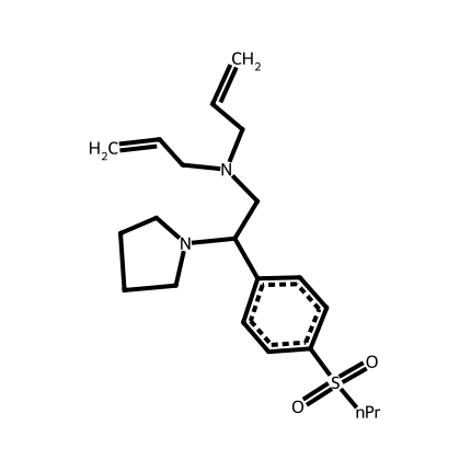 C=CCN(CC=C)CC(c1ccc(S(=O)(=O)CCC)cc1)N1CCCC1